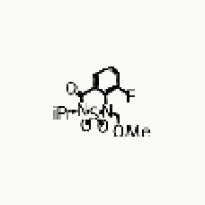 COCN1c2c(F)cccc2C(=O)N(C(C)C)S1(=O)=O